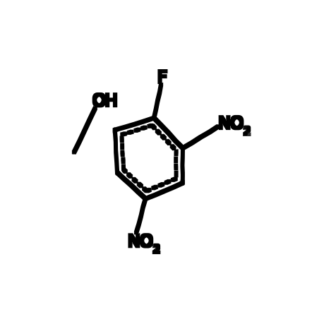 CO.O=[N+]([O-])c1ccc(F)c([N+](=O)[O-])c1